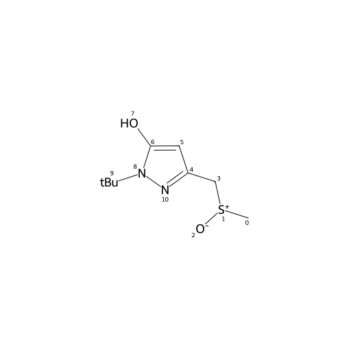 C[S+]([O-])Cc1cc(O)n(C(C)(C)C)n1